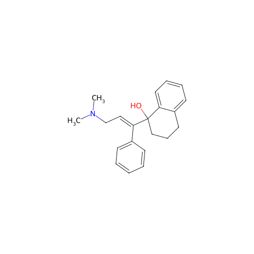 CN(C)CC=C(c1ccccc1)C1(O)CCCc2ccccc21